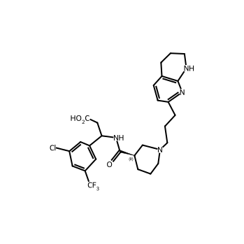 O=C(O)CC(NC(=O)[C@@H]1CCCN(CCCc2ccc3c(n2)NCCC3)C1)c1cc(Cl)cc(C(F)(F)F)c1